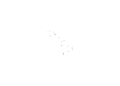 Cc1cccc(C(=O)O)c1NC(=O)COc1ccccc1